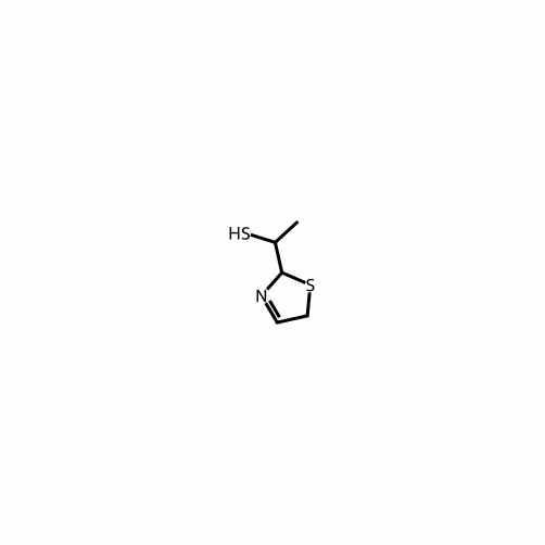 CC(S)C1N=CCS1